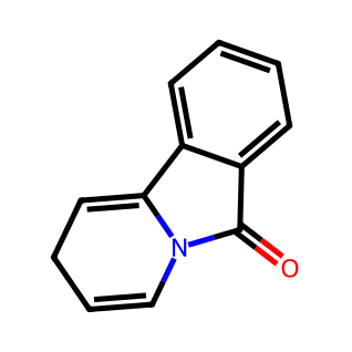 O=C1c2ccccc2C2=CCC=CN12